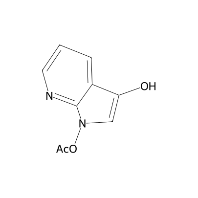 CC(=O)On1cc(O)c2cccnc21